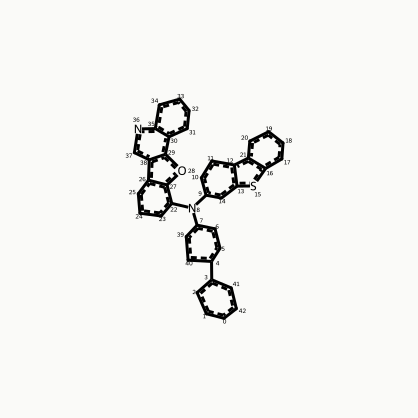 c1ccc(-c2ccc(N(c3ccc4c(c3)sc3ccccc34)c3cccc4c3oc3c5ccccc5ncc43)cc2)cc1